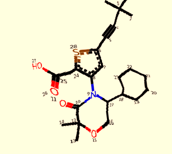 CC(C)(C)C#Cc1cc(N2C(=O)C(C)(C)OCC2C2CCCCC2)c(C(=O)O)s1